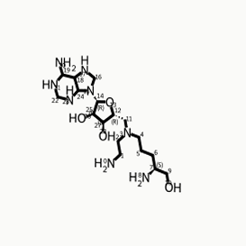 NCCN(CCC[C@H](N)CO)C[C@H]1O[C@@H](N2CNC3C(N)NCNC32)[C@H](O)[C@@H]1O